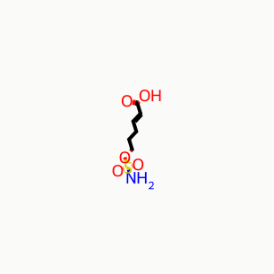 NS(=O)(=O)OCCC/C=C/C(=O)O